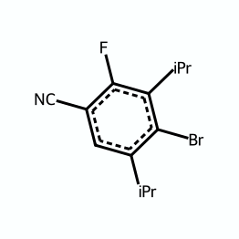 CC(C)c1cc(C#N)c(F)c(C(C)C)c1Br